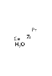 O.[Ce].[Pr].[Zr]